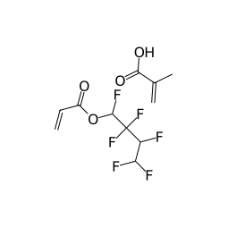 C=C(C)C(=O)O.C=CC(=O)OC(F)C(F)(F)C(F)C(F)F